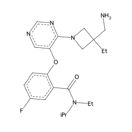 CCN(C(=O)c1cc(F)ccc1Oc1cncnc1N1CC(CC)(CN)C1)C(C)C